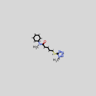 CN(C(=O)CCCCSc1nnnn1C)C1CCCCC1